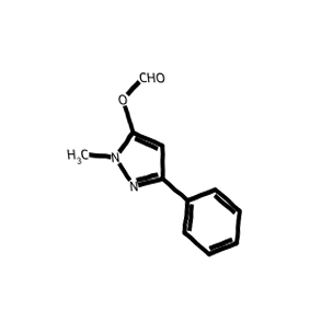 Cn1nc(-c2ccccc2)cc1OC=O